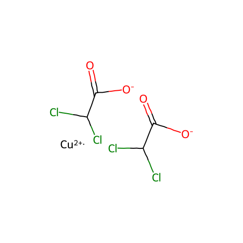 O=C([O-])C(Cl)Cl.O=C([O-])C(Cl)Cl.[Cu+2]